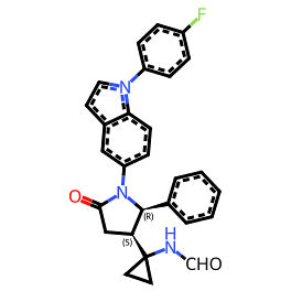 O=CNC1([C@H]2CC(=O)N(c3ccc4c(ccn4-c4ccc(F)cc4)c3)[C@H]2c2ccccc2)CC1